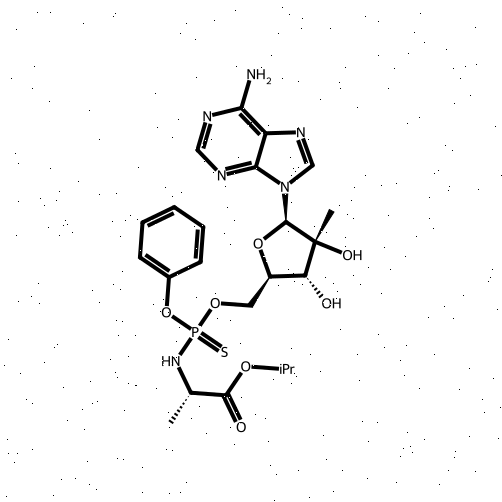 CC(C)OC(=O)[C@H](C)NP(=S)(OC[C@H]1O[C@@H](n2cnc3c(N)ncnc32)[C@](C)(O)[C@@H]1O)Oc1ccccc1